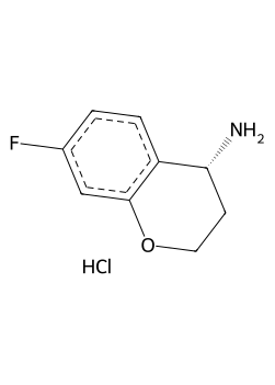 Cl.N[C@@H]1CCOc2cc(F)ccc21